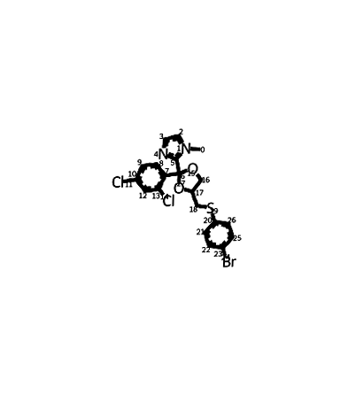 Cn1ccnc1C1(c2ccc(Cl)cc2Cl)OCC(CSc2ccc(Br)cc2)O1